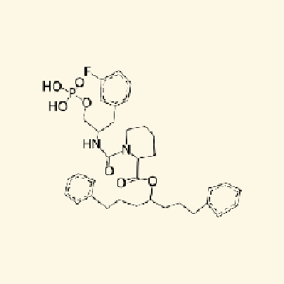 O=C(OC(CCCc1ccccc1)CCCc1ccccc1)C1CCCCN1C(=O)NC(COP(=O)(O)O)Cc1cccc(F)c1